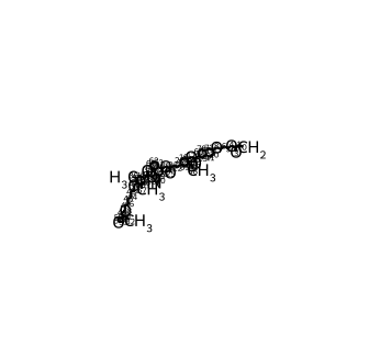 C=CC(=O)OCCCOc1ccc2cc(C(=O)Oc3ccc(/C=C/C(=O)Oc4cc(C=N)c(OC(=O)c5cc(C)c(OCCCCCCOCC6(CC)COC6)c(C)c5)c5ccccc45)cc3OC)ccc2c1